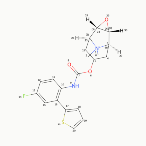 C[N+]1(C)[C@@H]2CC(OC(=O)Nc3ccc(F)cc3-c3cccs3)C[C@H]1[C@@H]1O[C@@H]12